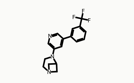 FC(F)(F)c1cccc(-c2cncc(N3CCN4CC3C4)c2)c1